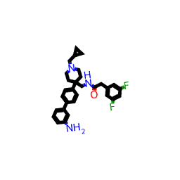 Nc1cccc(-c2ccc(C3(CNC(=O)Cc4cc(F)cc(F)c4)CCN(CC4CC4)CC3)cc2)c1